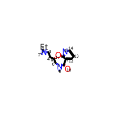 CCN(C)CCC1CN(C)C(=O)c2cccnc2O1